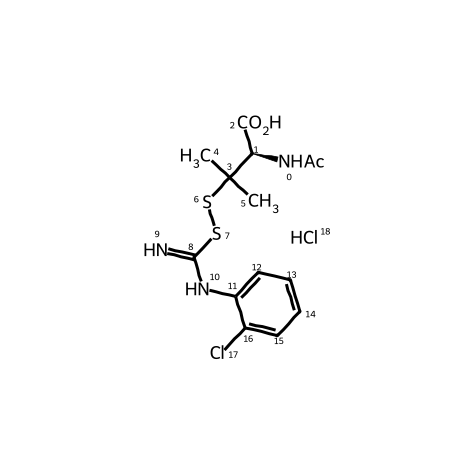 CC(=O)N[C@H](C(=O)O)C(C)(C)SSC(=N)Nc1ccccc1Cl.Cl